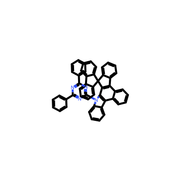 c1ccc(-c2nc(-c3ccccc3)nc(-n3c4ccccc4c4c5ccccc5c5c(c43)C3(c4ccccc4-c4ccccc43)c3ccccc3-5)n2)cc1